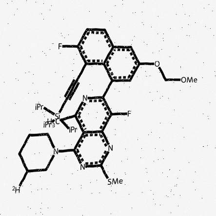 [2H]C1CCCN(c2nc(SC)nc3c(F)c(-c4cc(OCOC)cc5ccc(F)c(C#C[Si](C(C)C)(C(C)C)C(C)C)c45)nc(C)c23)C1